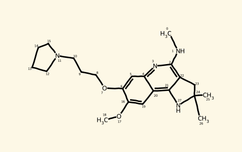 CNc1nc2cc(OCCCN3CCCC3)c(OC)cc2c2c1CC(C)(C)N2